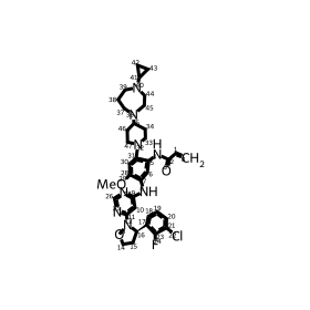 C=CC(=O)Nc1cc(Nc2cc(N3OCC[C@@H]3c3cccc(Cl)c3F)ncn2)c(OC)cc1N1CCC(N2CCCN(C3CC3)CC2)CC1